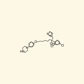 OC(CCCCCCOc1ccc(N2CCNCC2)cc1)(Cn1ccnc1)c1ccc(Cl)cc1Cl